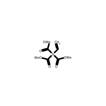 C=C[Si](C(=O)OC)(C(=O)OC)C(=O)OC